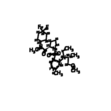 CCN(c1nc(C)ccc1S(=O)(=O)N1CCC[C@H]1C(=O)N(C)C1CCC(F)(F)CC1)[C@H](C)COC